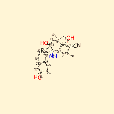 Cc1cc2c(c(O)c1C#N)C(C)(C)CC(O)(C(F)(F)F)C2Nc1cccc2cc(O)ccc12